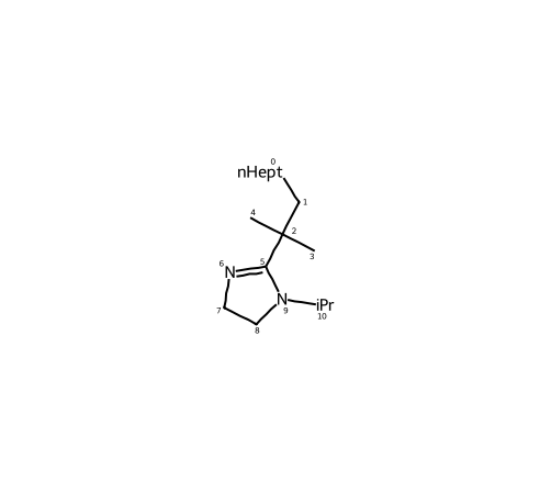 CCCCCCCCC(C)(C)C1=NCCN1C(C)C